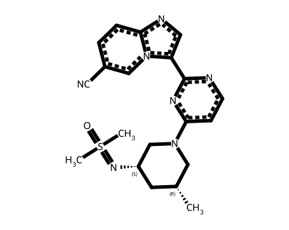 C[C@@H]1C[C@H](N=S(C)(C)=O)CN(c2ccnc(-c3cnc4ccc(C#N)cn34)n2)C1